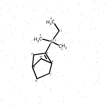 CC[Si](C)(C)C1=C2CCC(C2)C1